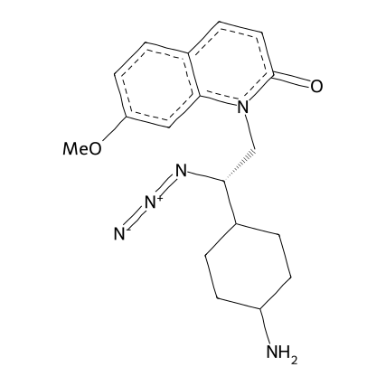 COc1ccc2ccc(=O)n(C[C@@H](N=[N+]=[N-])C3CCC(N)CC3)c2c1